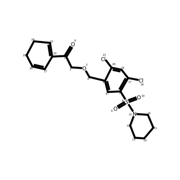 O=C(COCc1cc(S(=O)(=O)N2CCCCC2)c(Cl)cc1Cl)C1=CCCC=C1